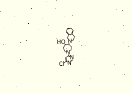 O[C@H]1CCN(c2cc(Cl)ncn2)CC[C@@H]1N1CCc2ccccc2C1